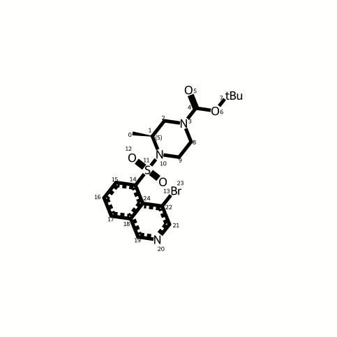 C[C@H]1CN(C(=O)OC(C)(C)C)CCN1S(=O)(=O)c1cccc2cncc(Br)c12